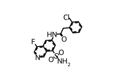 NS(=O)(=O)c1cc(NC(=O)Cc2ccccc2Cl)cc2c(F)cncc12